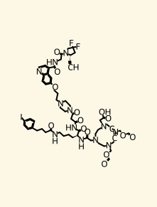 C#C[C@H]1CC(F)(F)CN1C(=O)CNC(=O)c1ccnc2ccc(OCCCN3CCN(C(=O)CC(=O)NC(=O)[C@H](CCCCNC(=O)CCCc4ccc(I)cc4)NC(=O)CN4CCN(COC=O)CCN(COC=O)CCN(CC(=O)O)CC4)CC3)cc12